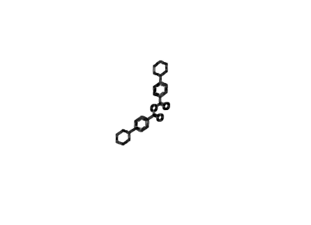 O=C(OC(=O)c1ccc(C2CCCCC2)cc1)c1ccc(C2CCCCC2)cc1